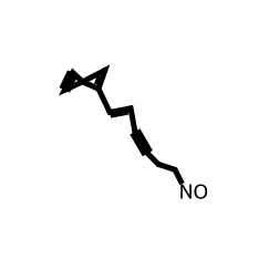 O=NCCC#C/C=C/C1=CC12C#C2